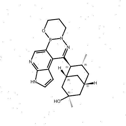 C[C@@H]1C[C@H]2C[C@H](C[C@](C)(O)C2)[C@H]1C1=NN2CCCOB2c2cnc3[nH]ccc3c21